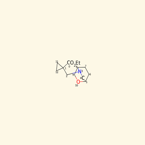 CCOC(=O)C1(CN2CC3CCC2CO3)CC1